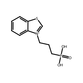 O=P(O)(O)CCC[n+]1csc2ccccc21